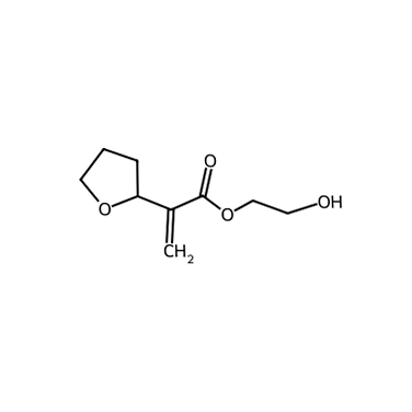 C=C(C(=O)OCCO)C1CCCO1